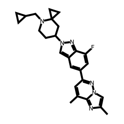 Cc1cn2nc(-c3cc(F)c4nn(C5CCN(CC6CC6)C6(CC6)C5)cc4c3)cc(C)c2n1